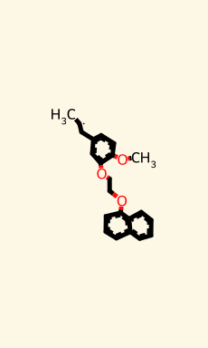 C[CH]Cc1ccc(OC)c(OCCOc2cccc3ccccc23)c1